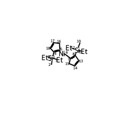 CC[Si](C)(CC)C1=[C]([Ni][C]2=C([Si](C)(CC)CC)C=CC2)CC=C1